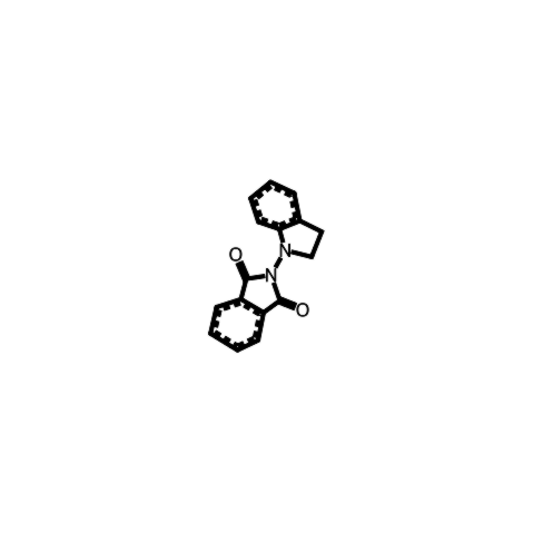 O=C1c2ccccc2C(=O)N1N1CCc2ccccc21